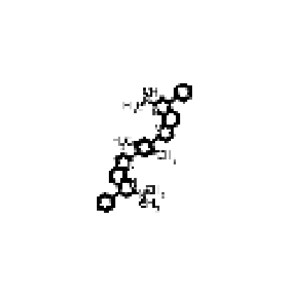 Cc1cc(-c2ccc3ccc4c(-c5ccccc5)cc(N(C)C)nc4c3n2)c(C)cc1-c1ccc2ccc3c(-c4ccccc4)cc(N(C)C)nc3c2n1